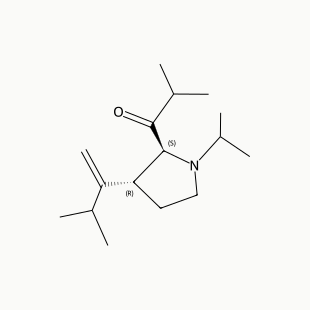 C=C(C(C)C)[C@H]1CCN(C(C)C)[C@@H]1C(=O)C(C)C